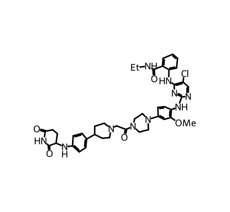 CCNC(=O)c1ccccc1Nc1nc(Nc2ccc(N3CCN(C(=O)CN4CCC(c5ccc(NC6CCC(=O)NC6=O)cc5)CC4)CC3)cc2OC)ncc1Cl